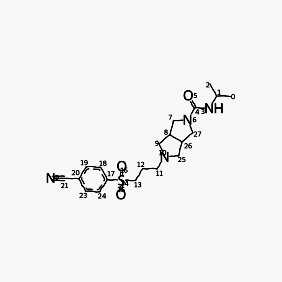 CC(C)NC(=O)N1CC2CN(CCCS(=O)(=O)c3ccc(C#N)cc3)CC2C1